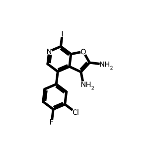 Nc1oc2c(I)ncc(-c3ccc(F)c(Cl)c3)c2c1N